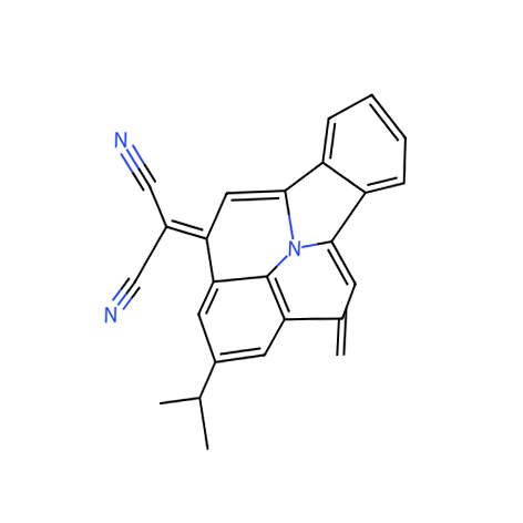 C=c1cc2c3ccccc3c3cc(=C(C#N)C#N)c4cc(C(C)C)cc1c4n23